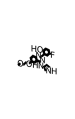 COCCOc1ccc2nc(-c3cc(F)ccc3O)nc(N[C@H]3CCNC3)c2c1